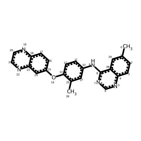 Cc1ccc2ncnc(Nc3ccc(Oc4ccc5nccnc5c4)c(C)c3)c2c1